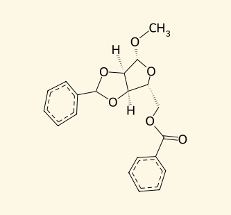 CO[C@@H]1O[C@H](COC(=O)c2ccccc2)[C@H]2OC(c3ccccc3)O[C@@H]12